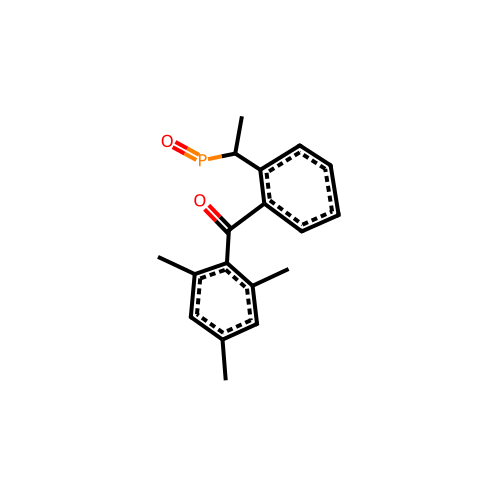 Cc1cc(C)c(C(=O)c2ccccc2C(C)P=O)c(C)c1